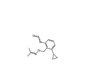 CC(C)=NOCc1c(N=S=O)cccc1C1CC1